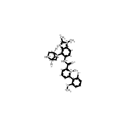 COc1cccc(F)c1-c1cccc(C(=O)Nc2ccc3c(nc(C)n3C)c2N2C[C@@H]3C[C@H]2CN3)[n+]1[O-]